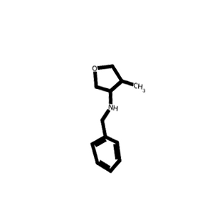 CC1COCC1NCc1ccccc1